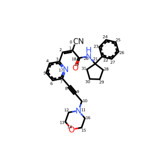 N#CC(=Cc1cccc(C#CCN2CCOCC2)n1)C(=O)NC1(c2ccccc2)CCCC1